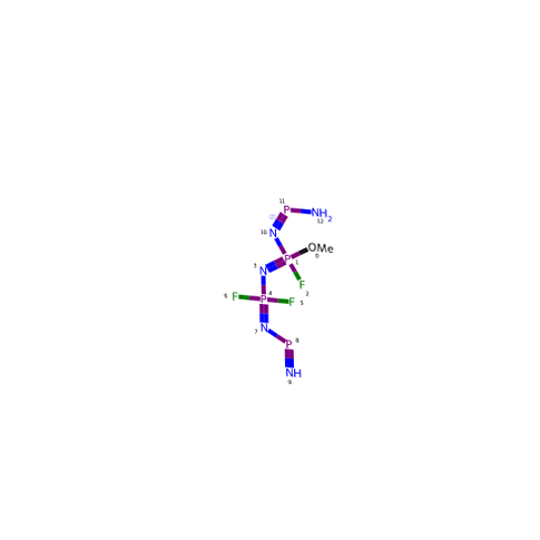 COP(F)(=NP(F)(F)=NP=N)/N=P\N